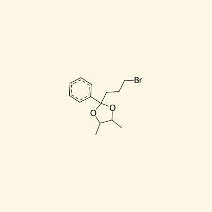 CC1OC(CCCBr)(c2ccccc2)OC1C